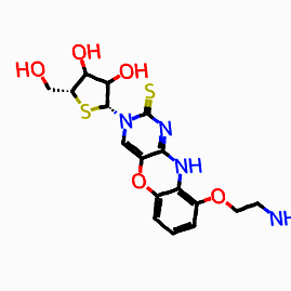 NCCOc1cccc2c1Nc1nc(=S)n([C@@H]3S[C@H](CO)C(O)C3O)cc1O2